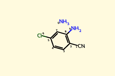 N.N#Cc1ccc(Cl)cc1N